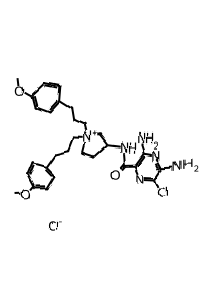 COc1ccc(CCC[N+]2(CCCc3ccc(OC)cc3)CCC(NC(=O)c3nc(Cl)c(N)nc3N)C2)cc1.[Cl-]